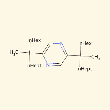 CCCCCCCC(C)(CCCCCC)c1cnc(C(C)(CCCCCC)CCCCCCC)cn1